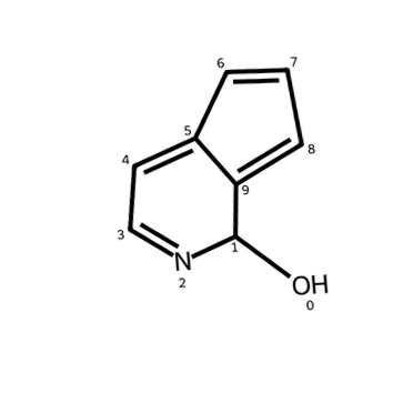 OC1N=CC=C2C=CC=C21